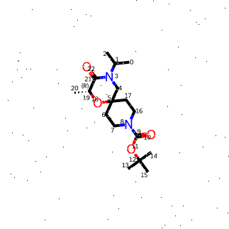 CC(C)N1CC2(CCN(C(=O)OC(C)(C)C)CC2)O[C@H](C)C1=O